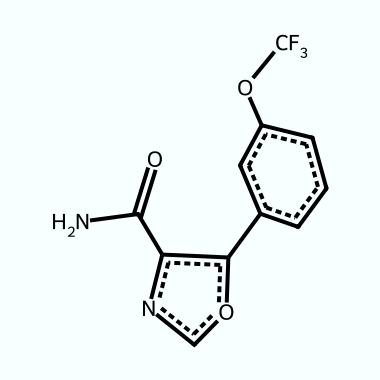 NC(=O)c1ncoc1-c1cccc(OC(F)(F)F)c1